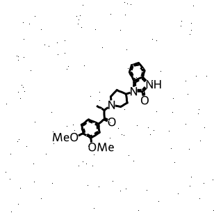 COc1ccc(C(=O)C(C)N2CCC(n3c(=O)[nH]c4ccccc43)CC2)cc1OC